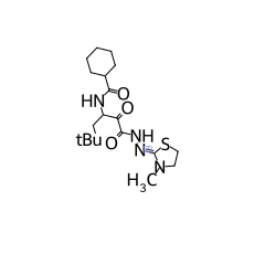 CN1CCS/C1=N\NC(=O)C(=O)C(CC(C)(C)C)NC(=O)C1CCCCC1